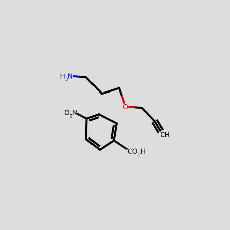 C#CCOCCCN.O=C(O)c1ccc([N+](=O)[O-])cc1